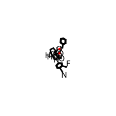 N#Cc1ccc(N2C[C@H]3[C@H]4CC[C@H](O4)C3(C(=O)OCc3ccccc3)S2(=O)=O)cc1CF